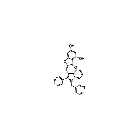 O=C1C(=Cc2c(-c3ccccc3)n(Cc3cccnc3)c3ccccc23)Oc2cc(O)cc(O)c21